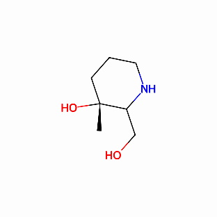 C[C@@]1(O)CCCNC1CO